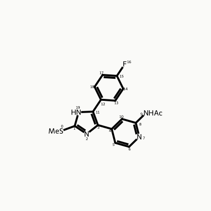 CSc1nc(-c2ccnc(NC(C)=O)c2)c(-c2ccc(F)cc2)[nH]1